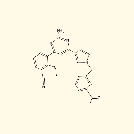 COc1c(C#N)cccc1-c1cc(-c2cnn(Cc3cccc(C(C)=O)n3)c2)nc(N)n1